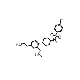 CNCc1cc(CCO)ccc1[C@H]1CC[C@H](N(C)S(=O)(=O)c2ccc(Cl)cc2)CC1